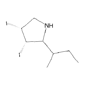 CCC(C)C1NC[C@@H](I)[C@H]1I